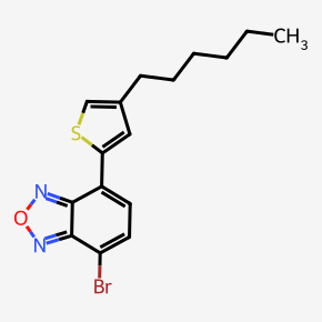 CCCCCCc1csc(-c2ccc(Br)c3nonc23)c1